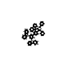 c1ccc(-c2nc(-c3ccccc3)c3c(n2)C(c2ccccc2)(c2ccccc2)c2cc(-c4cc(-n5c6ccccc6c6ccccc65)cc(-n5c6ccccc6c6ccccc65)c4)ccc2-3)cc1